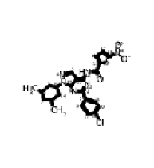 CC1CC(C)CC(n2ncc3c(NC(=O)c4ccc([N+](=O)[O-])s4)nc(-c4ccc(Cl)cc4)nc32)C1